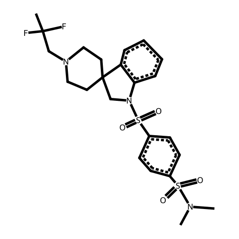 CN(C)S(=O)(=O)c1ccc(S(=O)(=O)N2CC3(CCN(CC(C)(F)F)CC3)c3ccccc32)cc1